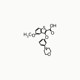 COc1ccc2sc(C(=O)O)c(Oc3cccc(N4CCOCC4)c3)c2c1